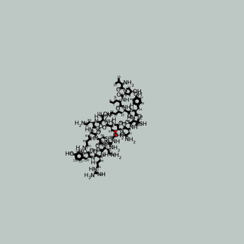 CC[C@H](C)[C@H](NC(=O)[C@@H]1C[C@@H](O)CN1C(=O)[C@@H](N)C(C)C)C(=O)N[C@@H](CCCCN)C(=O)N[C@@H](Cc1ccc(O)cc1)C(=O)N[C@H](C(=O)N[C@@H](CC(N)=O)C(=O)N[C@@H](CCCNC(=N)N)C(=O)N[C@@H](CCN)C(=O)N[C@H](C(=O)N[C@H](CCN)C(=O)N[C@@H](CCCCN)C(=O)N[C@@H](CS)C(=O)N[C@@H](CCN)C(=O)N[C@@H](CCCNC(=N)N)C(=O)N[C@@H](Cc1ccc(O)cc1)C(=O)O)[C@@H](C)O)C(C)(C)S